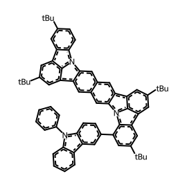 CC(C)(C)c1ccc2c(c1)c1cc(C(C)(C)C)cc3c4cc5cc6c(cc5cc4n2c13)c1cc(C(C)(C)C)cc2c3cc(C(C)(C)C)cc(-c4ccc5c(c4)c4ccccc4n5-c4ccccc4)c3n6c12